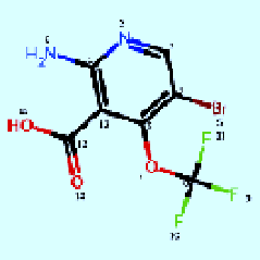 Nc1ncc(Br)c(OC(F)(F)F)c1C(=O)O